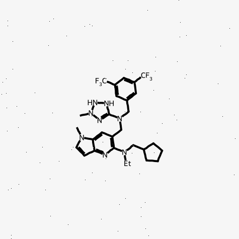 CCN(CC1CCCC1)c1nc2ccn(C)c2cc1CN(Cc1cc(C(F)(F)F)cc(C(F)(F)F)c1)C1=NN(C)NN1